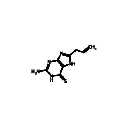 C=CCc1nc2nc(N)[nH]c(=S)c2[nH]1